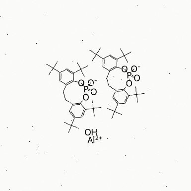 CC(C)(C)c1cc2c(c(C(C)(C)C)c1)OP(=O)([O-])Oc1c(cc(C(C)(C)C)cc1C(C)(C)C)CC2.CC(C)(C)c1cc2c(c(C(C)(C)C)c1)OP(=O)([O-])Oc1c(cc(C(C)(C)C)cc1C(C)(C)C)CC2.[OH][Al+2]